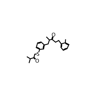 Cc1ccccc1CCC(=O)C(C)Cc1cccc(SCC(=O)C(C)C)c1